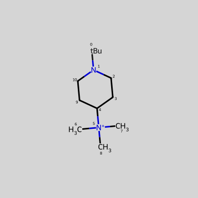 CC(C)(C)N1CCC([N+](C)(C)C)CC1